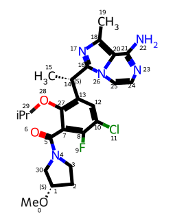 CO[C@H]1CCN(C(=O)c2c(F)c(Cl)cc([C@H](C)c3nc(C)c4c(N)nccn34)c2OC(C)C)C1